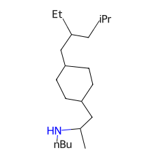 CCCCNC(C)CC1CCC(CC(CC)CC(C)C)CC1